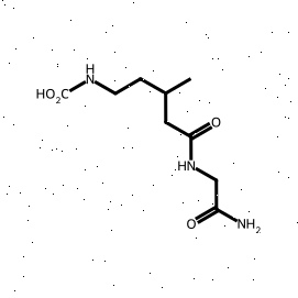 CC(CCNC(=O)O)CC(=O)NCC(N)=O